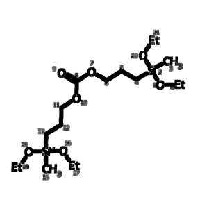 CCO[Si](C)(CCCOC(=O)OCCC[Si](C)(OCC)OCC)OCC